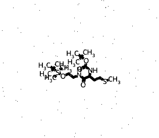 CSCCC(NC(=O)OC(C)(C)C)C(=O)NCCO[Si](C)(C)C(C)(C)C